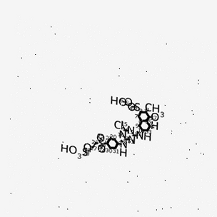 Cc1c(SOOO)cc2cc(Nc3nc(Cl)nc(Nc4ccc(S(=O)(=O)CCOS(=O)(=O)O)cc4)n3)ccc2c1O